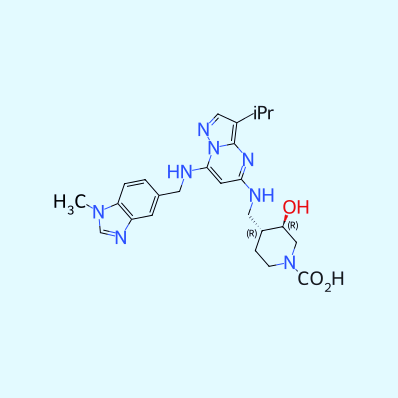 CC(C)c1cnn2c(NCc3ccc4c(c3)ncn4C)cc(NC[C@H]3CCN(C(=O)O)C[C@@H]3O)nc12